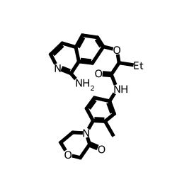 CCC(Oc1ccc2ccnc(N)c2c1)C(=O)Nc1ccc(N2CCOCC2=O)c(C)c1